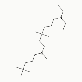 CCN(CC)CCCC(C)(C)CCN(C)CCCC(C)(C)C